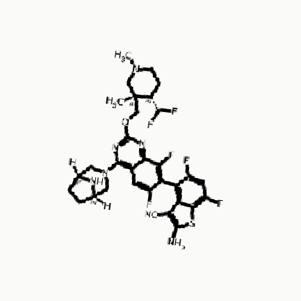 CN1CC[C@H](C(F)F)[C@](C)(COc2nc(N3C[C@H]4CC[C@@H](C3)N4)c3cc(F)c(-c4c(F)cc(F)c5sc(N)c(C#N)c45)c(F)c3n2)C1